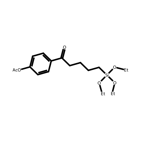 CCO[Si](CCCCC(=O)c1ccc(OC(C)=O)cc1)(OCC)OCC